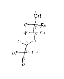 CC(CC(F)(F)C(O)(F)F)C(F)(F)F